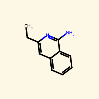 CCc1cc2ccccc2c(N)n1